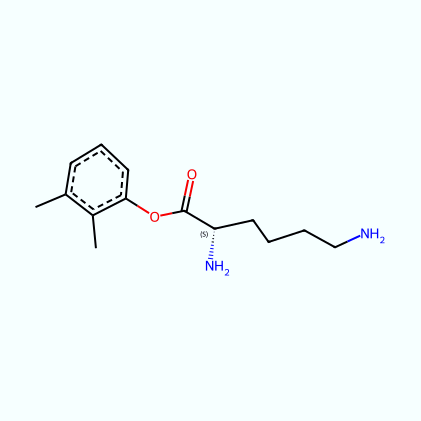 Cc1cccc(OC(=O)[C@@H](N)CCCCN)c1C